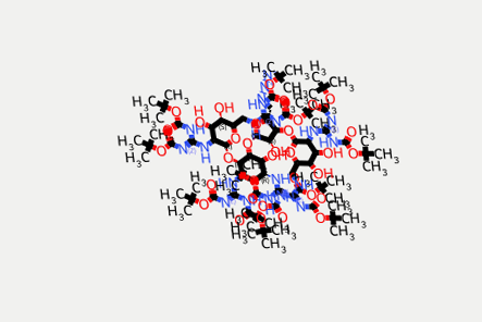 CC(C)(C)OC(=O)/N=C(/NCC1O[C@H](O[C@@H]2C(N/C(=N\C(=O)OC(C)(C)C)NC(=O)OC(C)(C)C)C[C@@H](N/C(=N\C(=O)OC(C)(C)C)NC(=O)OC(C)(C)C)C(O)C2O[C@@H]2O[C@H](CN=[N+]=[N-])C(OC3OC(CN/C(=N\C(=O)OC(C)(C)C)NC(=O)OC(C)(C)C)C(O)C(O)C3N/C(=N\C(=O)OC(C)(C)C)NC(=O)OC(C)(C)C)[C@@H]2O)C(N/C(=N/C(=O)OC(C)(C)C)NC(=O)OC(C)(C)C)C(O)[C@@H]1O)NC(=O)OC(C)(C)C